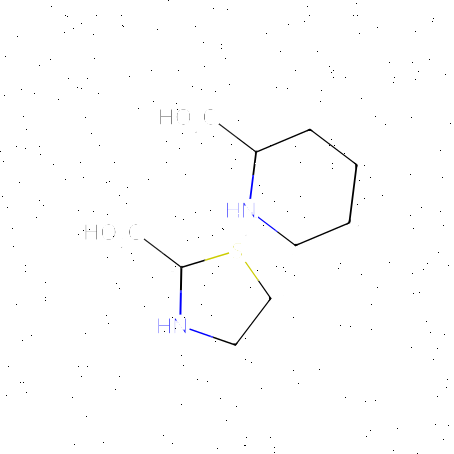 O=C(O)C1CCCCN1.O=C(O)C1NCCS1